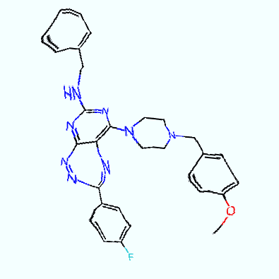 COc1ccc(CN2CCN(c3nc(NCc4ccccc4)nc4nnc(-c5ccc(F)cc5)nc34)CC2)cc1